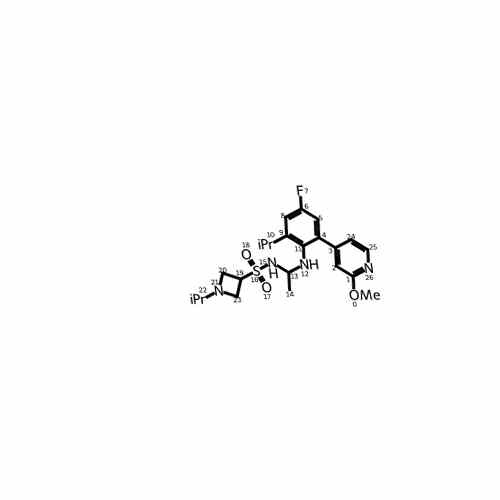 COc1cc(-c2cc(F)cc(C(C)C)c2NC(C)NS(=O)(=O)C2CN(C(C)C)C2)ccn1